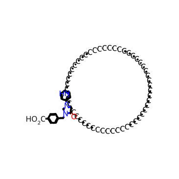 O=C(O)c1ccc(CN2CN(c3ccccc3)C3(CCCCCCCCCCCCCCCCCCCCCCCCCCCCCCCCCCCCCCCCCCCCCCCCNCC3)C2=O)cc1